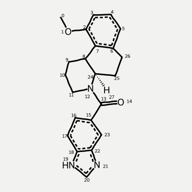 COc1cccc2c1C1CCCN(C(=O)c3ccc4[nH]cnc4c3)[C@@H]1CC2